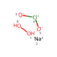 OO.[Na+].[O-][Cl+][O-]